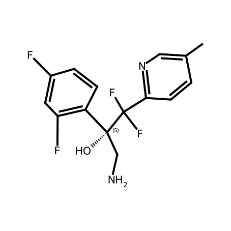 Cc1ccc(C(F)(F)[C@@](O)(CN)c2ccc(F)cc2F)nc1